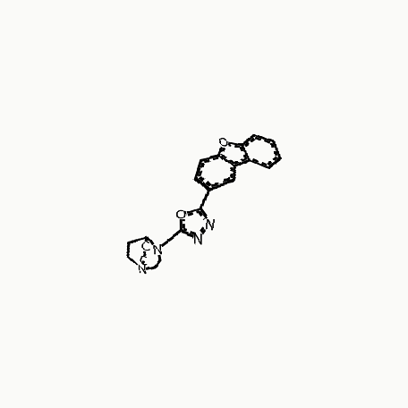 c1ccc2c(c1)oc1ccc(-c3nnc(N4CCN5CCC4CC5)o3)cc12